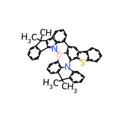 CC1(C)c2ccccc2N2c3c(cccc31)B1c3c(cc4c(sc5ccccc54)c32)-c2cccc3c4c(n1c23)-c1ccccc1C4(C)C